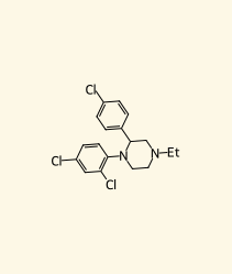 CCN1CCN(c2ccc(Cl)cc2Cl)C(c2ccc(Cl)cc2)C1